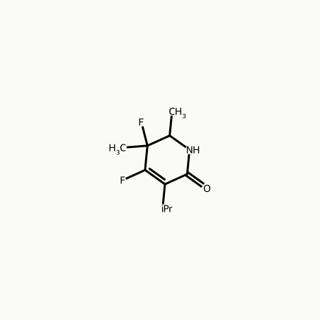 CC(C)C1=C(F)C(C)(F)C(C)NC1=O